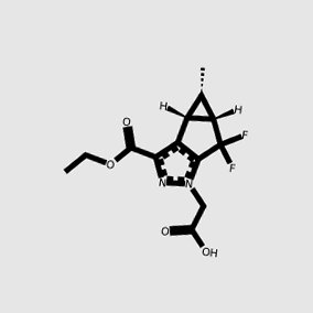 CCOC(=O)c1nn(CC(=O)O)c2c1[C@@H]1[C@H](C)[C@@H]1C2(F)F